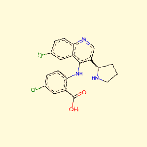 O=C(O)c1cc(Cl)ccc1Nc1c([C@H]2CCCN2)cnc2ccc(Cl)cc12